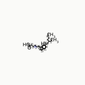 CCCCC(CC)CNc1ccc2ccn(C/C=C/CCC(=O)O)c2c1